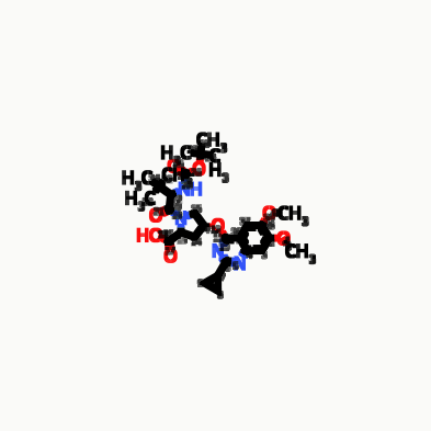 COc1cc2nc(C3CC3)nc(O[C@@H]3CC(C(=O)O)N(C(=O)C(NC(=O)OC(C)(C)C)C(C)(C)C)C3)c2cc1OC